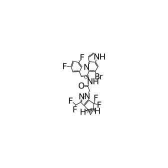 O=C(Cn1nc(C(F)F)c2c1C(F)(F)[C@@H]1C[C@H]21)N[C@@H](Cc1cc(F)cc(F)c1)c1nc2cc[nH]c2cc1Br